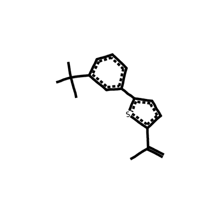 C=C(C)c1ccc(-c2cccc(C(C)(C)C)c2)s1